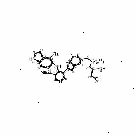 Cc1c(Nc2c(C#N)cncc2-c2cc3cc(CN(C)CC(O)CO)ccc3o2)ccc2[nH]ccc12